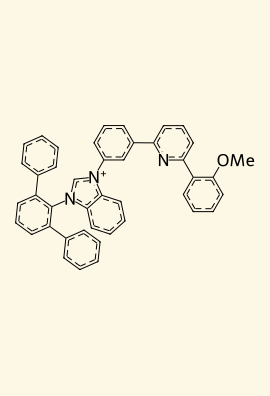 COc1ccccc1-c1cccc(-c2cccc(-[n+]3cn(-c4c(-c5ccccc5)cccc4-c4ccccc4)c4ccccc43)c2)n1